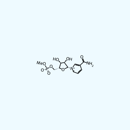 COP(=O)([O-])OC[C@H]1O[C@@H]([n+]2cccc(C(N)=O)c2)[C@H](O)[C@@H]1O